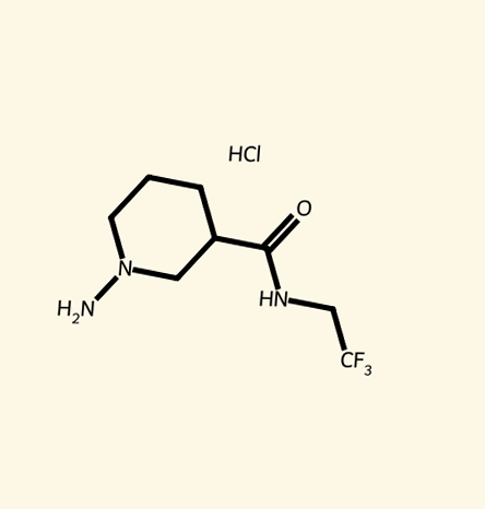 Cl.NN1CCCC(C(=O)NCC(F)(F)F)C1